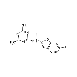 CC(Nc1nc(N)nc(C(F)(F)F)n1)c1cc2ccc(F)cc2o1